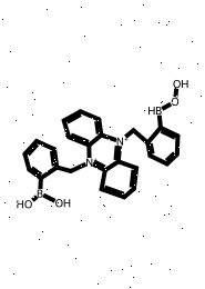 OOBc1ccccc1C[n+]1c2ccccc2[n+](Cc2ccccc2B(O)O)c2ccccc21